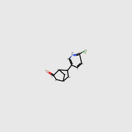 O=C1CC2CC1C(c1ccc(Cl)nc1)C2